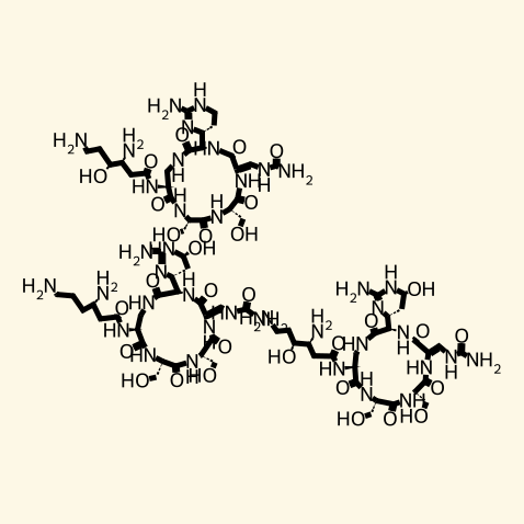 NCCC[C@H](N)CC(=O)N[C@H]1CNC(=O)[C@H]([C@H]2C[C@H](O)NC(N)=N2)NC(=O)/C(=C/NC(N)=O)NC(=O)[C@H](CO)NC(=O)[C@H](CO)NC1=O.NCC[C@@H](O)[C@H](N)CC(=O)N[C@H]1CNC(=O)[C@H]([C@H]2CCNC(N)=N2)NC(=O)/C(=C/NC(N)=O)NC(=O)[C@H](CO)NC(=O)[C@H](CO)NC1=O.NCC[C@@H](O)[C@H](N)CC(=O)N[C@H]1CNC(=O)[C@H]([C@H]2C[C@H](O)NC(N)=N2)NC(=O)/C(=C/NC(N)=O)NC(=O)[C@H](CO)NC(=O)[C@H](CO)NC1=O